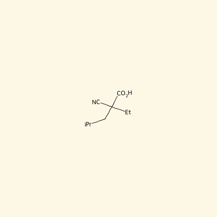 CCC(C#N)(CC(C)C)C(=O)O